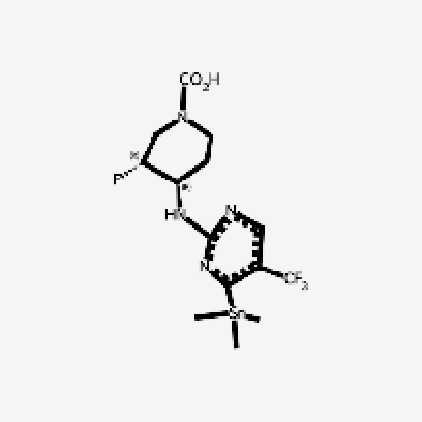 [CH3][Sn]([CH3])([CH3])[c]1nc(N[C@@H]2CCN(C(=O)O)C[C@H]2F)ncc1C(F)(F)F